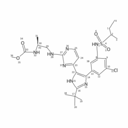 CCC(C)S(=O)(=O)Nc1cc(Cl)cc(-c2nc(C(C)(C)C)[nH]c2-c2ccnc(NC[C@H](C)NC(=O)OC)n2)c1